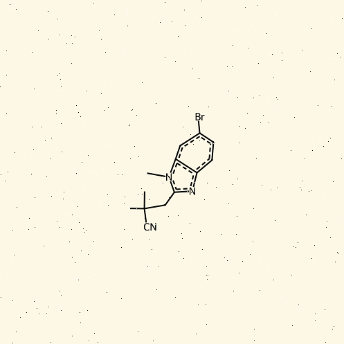 Cn1c(CC(C)(C)C#N)nc2ccc(Br)cc21